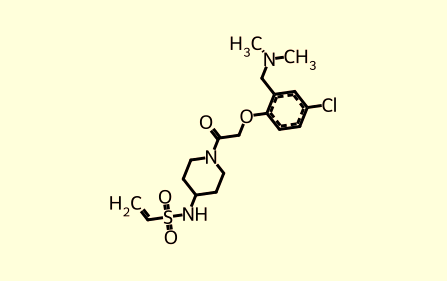 C=CS(=O)(=O)NC1CCN(C(=O)COc2ccc(Cl)cc2CN(C)C)CC1